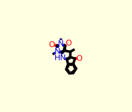 CC1C2=C(Nc3c1c(=O)n(C)c(=O)n3C)c1ccccc1C2=O